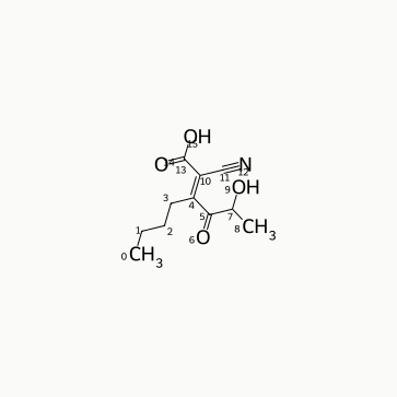 CCCCC(C(=O)C(C)O)=C(C#N)C(=O)O